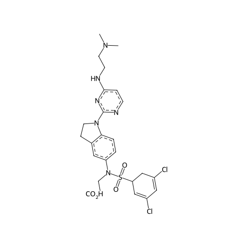 CN(C)CCNc1ccnc(N2CCc3cc(N(CC(=O)O)S(=O)(=O)C4C=C(Cl)C=C(Cl)C4)ccc32)n1